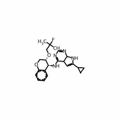 CC(C)(F)CO[C@H]1COc2ccccc2[C@@H]1NC1=NC=NC2NC(C3CC3)=CC12